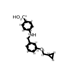 O=C(O)c1ccc(NCc2cccc(OCC3CC3)c2)cc1